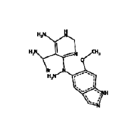 COc1cc2[nH]ncc2cc1N(N)C1=NCNC(N)=C1C(N)Br